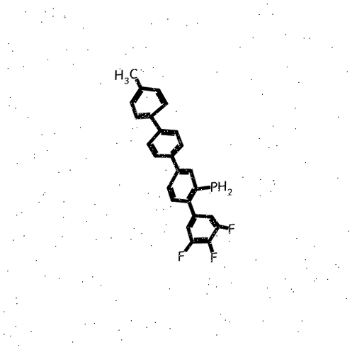 Cc1ccc(-c2ccc(-c3ccc(-c4cc(F)c(F)c(F)c4)c(P)c3)cc2)cc1